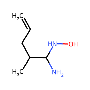 C=CCC(C)C(N)NO